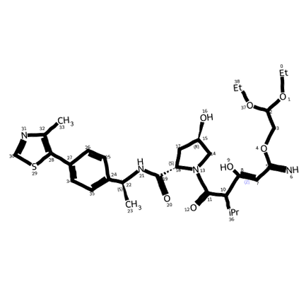 CCOC(COC(=N)/C=C(\O)C(C(=O)N1C[C@H](O)C[C@H]1C(=O)N[C@@H](C)c1ccc(-c2scnc2C)cc1)C(C)C)OCC